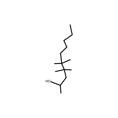 CCCCCC(C)(C)C(C)(C)CC(C)O